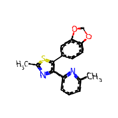 Cc1cccc(-c2nc(C)sc2-c2ccc3c(c2)OCO3)n1